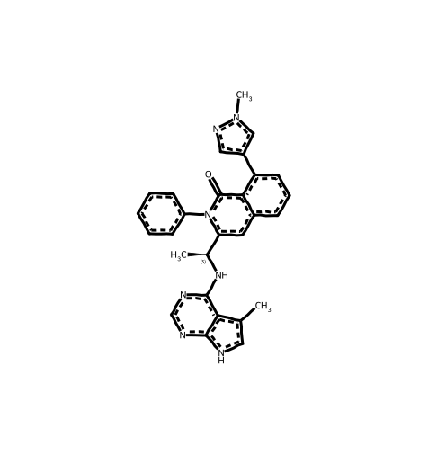 Cc1c[nH]c2ncnc(N[C@@H](C)c3cc4cccc(-c5cnn(C)c5)c4c(=O)n3-c3ccccc3)c12